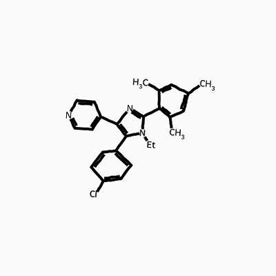 CCn1c(-c2c(C)cc(C)cc2C)nc(-c2ccncc2)c1-c1ccc(Cl)cc1